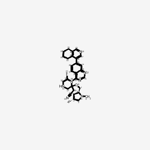 CN1C[C@H](F)C[C@H]1COC1(CC#N)CNCC(F)N1c1ncnc2cc(-c3cncc4c3CCCC4)ccc12